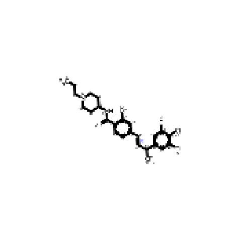 O=C(NC1CCN(CCC(F)(F)F)CC1)c1ccc(/C=C/C(c2cc(Cl)c(Cl)c(Cl)c2)C(F)(F)F)cc1Br